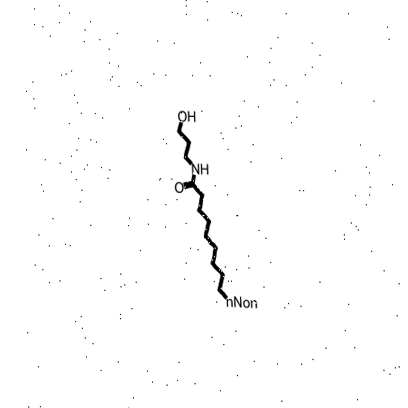 CCCCCCCCCCCCCCCCCC(=O)NCCCO